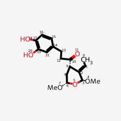 C/C=C1/[C@H](OC)O[C@H](OC)C[C@@H]1C(=O)CCc1ccc(O)c(O)c1